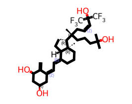 C=C1/C(=C\C=C2/CCC[C@]3(C)[C@@H]([C@](C)(C/C=C\C(O)(C(F)(F)F)C(F)(F)F)CCCC(C)(C)O)CC[C@@H]23)C[C@@H](O)CC1O